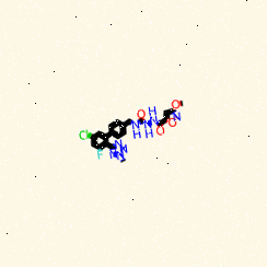 COc1cc(C(=O)NNC(=O)NCc2ccc(-c3cc(Cl)cc(F)c3-c3nnn(C)n3)cc2)on1